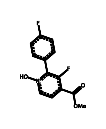 COC(=O)c1cc[n+](O)c(-c2ccc(F)cc2)c1F